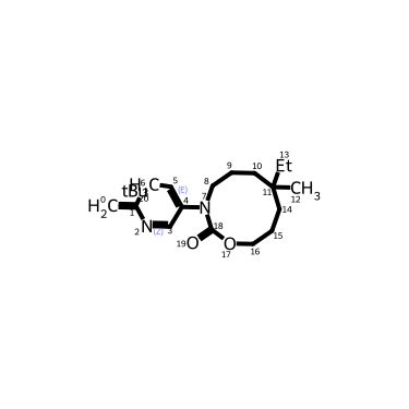 C=C(/N=C\C(=C/C)N1CCCC(C)(CC)CCCOC1=O)C(C)(C)C